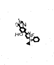 Cn1cnc2cc(-c3ccc(N(C4CC4)C4CCCCC4F)nn3)c(O)cc2c1=O